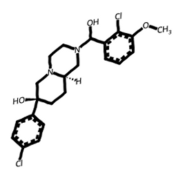 COc1cccc(C(O)N2CCN3C[C@@](O)(c4ccc(Cl)cc4)CC[C@@H]3C2)c1Cl